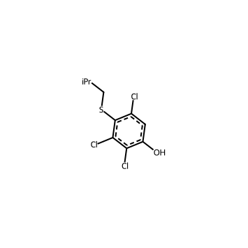 CC(C)CSc1c(Cl)cc(O)c(Cl)c1Cl